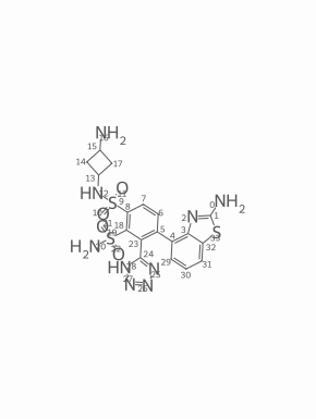 Nc1nc2c(-c3ccc(S(=O)(=O)NC4CC(N)C4)c(S(N)(=O)=O)c3-c3nnn[nH]3)cccc2s1